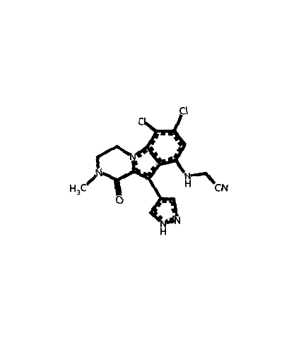 CN1CCn2c(c(-c3cn[nH]c3)c3c(NCC#N)cc(Cl)c(Cl)c32)C1=O